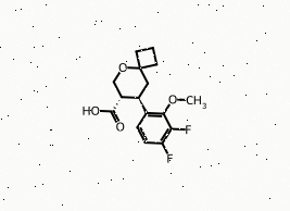 COc1c([C@@H]2CC3(CCC3)OC[C@H]2C(=O)O)ccc(F)c1F